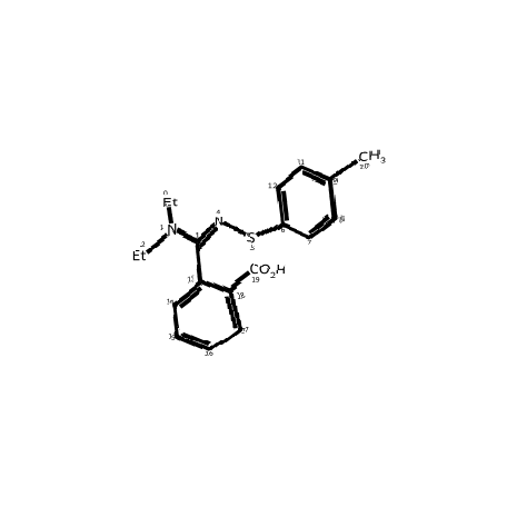 CCN(CC)/C(=N/Sc1ccc(C)cc1)c1ccccc1C(=O)O